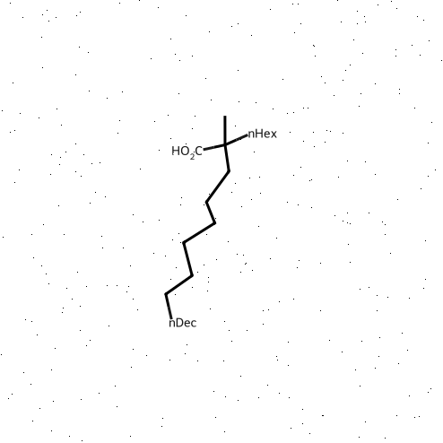 CCCCCCCCCCCCCCCCC(C)(CCCCCC)C(=O)O